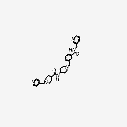 O=C(NCc1cccnc1)c1cccc(CN2CCC(NC(=O)C3CCN(Cc4ccncc4)CC3)CC2)c1